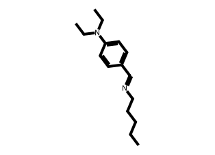 CCCCCN=Cc1ccc(N(CC)CC)cc1